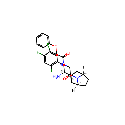 N[C@H](Cc1cc(F)c(F)cc1F)[C@H]1C[C@H]2CC[C@@H](C1)N2C(=O)CNC(=O)COc1ccccc1